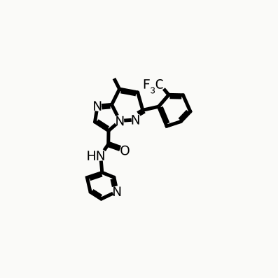 Cc1cc(-c2ccccc2C(F)(F)F)nn2c(C(=O)Nc3cccnc3)cnc12